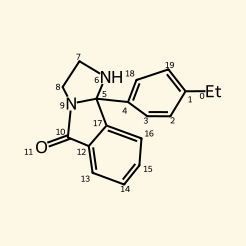 CCc1ccc(C23NCCN2C(=O)c2ccccc23)cc1